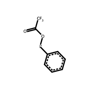 O=C(O[I+]c1ccccc1)C(F)(F)F